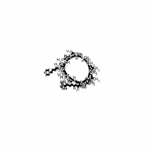 CC[C@@H]1NC(=O)[C@H]([C@H](O)[C@H](C)CCCCCc2nnnn2C)NC(=O)[C@H](C(C)C)N(C)C(=O)[C@H](CC(C)C)N(C)C(=O)[C@H](CC(C)C)N(C)C(=O)[C@@H](C)NC(=O)[C@H](C)NC(=O)[C@H](CC(C)C)N(C)C(=O)[C@H](C(C)C)NC(=O)[C@H]([C@@H](C)OCCCCN2CCOCC2)N(C)C(=O)[C@@H](C)N(C)C1=O